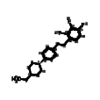 CC[C@H]1CC[C@H](c2ccc(CCc3ccc(F)c(F)c3F)cc2)CC1